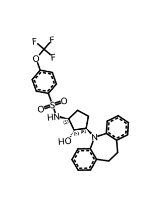 O=S(=O)(N[C@H]1CC[C@@H](N2c3ccccc3CCc3ccccc32)[C@@H]1O)c1ccc(OC(F)(F)F)cc1